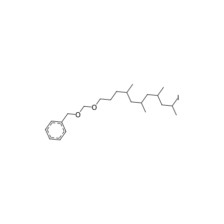 CC(I)CC(C)CC(C)CC(C)CCCOCOCc1ccccc1